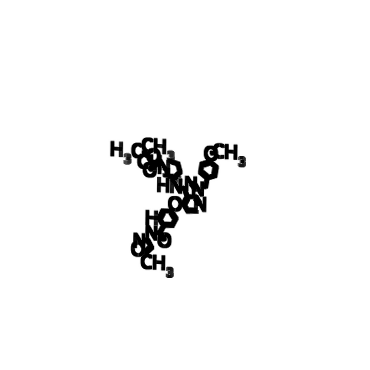 COc1ccc(Cn2nc(N[C@@H]3CCCN(C(=O)OC(C)(C)C)C3)c3c(Oc4ccc(C(=O)Nc5cc(C)on5)cc4)ccnc32)cc1